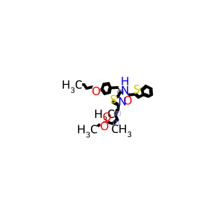 CCCCOc1ccc(C[C@H](NC(=O)c2cc3ccccc3s2)c2nc(/C=C(C)/C=C(/C)C(=O)OCC)cs2)cc1